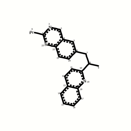 CC(C)c1ncc2cc(CC(C)c3ccc4ccccc4n3)ccc2n1